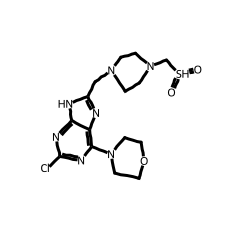 O=[SH](=O)CN1CCN(Cc2nc3c(N4CCOCC4)nc(Cl)nc3[nH]2)CC1